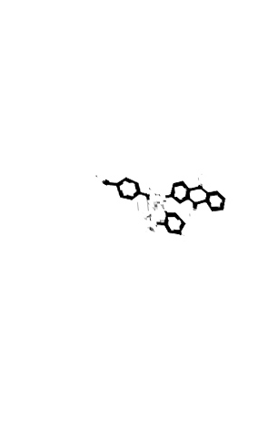 N#Cc1ccc(C2=NN(c3ccc4c(c3)C(=O)c3ccccc3C4=O)N(c3ccc(Cl)cc3[N+](=O)[O-])N2)cc1